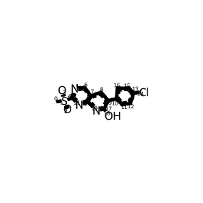 CS(=O)(=O)c1ncc2cc(-c3ccc(Cl)cc3)c(O)nc2n1